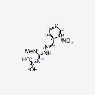 CN/C(=N\N(O)O)NN=Cc1ccccc1[N+](=O)[O-]